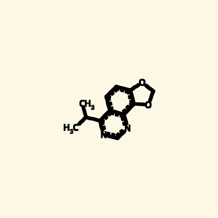 CC(C)c1ncnc2c3c(ccc12)OCO3